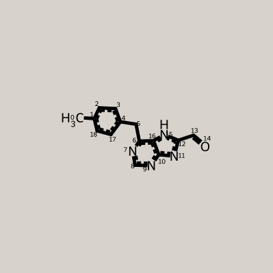 Cc1ccc(Cc2ncnc3nc(C=O)[nH]c23)cc1